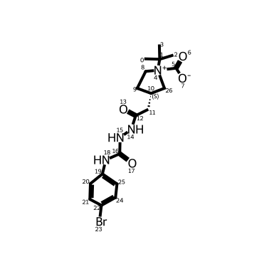 CC(C)(C)[N+]1(C(=O)[O-])CC[C@@H](CC(=O)NNC(=O)Nc2ccc(Br)cc2)C1